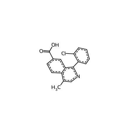 Cc1cnc(-c2ccccc2Cl)c2cc(C(=O)O)ccc12